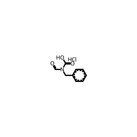 Cl.O=CN(Cc1ccccc1)C(=O)O